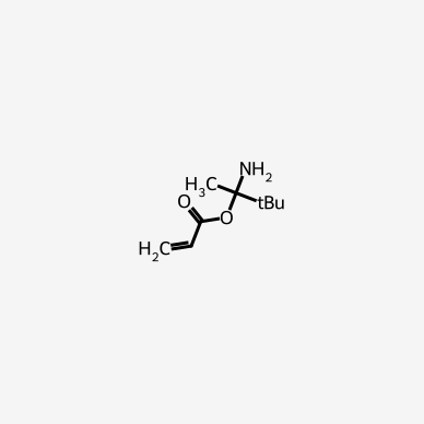 C=CC(=O)OC(C)(N)C(C)(C)C